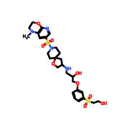 CN1CCOc2ncc(S(=O)(=O)N3CCC4(CC3)CC(NCC(O)COc3cccc(S(=O)(=O)CCO)c3)CO4)cc21